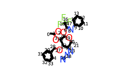 CC(=O)O[C@@H]1[C@@H](OC(=Nc2ccccc2)C(F)(F)F)O[C@H](C)[C@@H](N=[N+]=[N-])[C@@H]1OCc1ccccc1